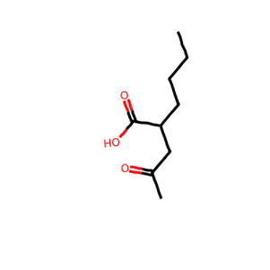 CCCCC(CC(C)=O)C(=O)O